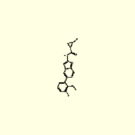 CCc1c(F)cccc1-c1ccc2nc(NC(=O)C3CC3F)cn2c1